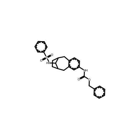 O=C(Nc1ccc2c(c1)CC1CCC(C2)C1NS(=O)(=O)c1ccccc1)OCc1ccccc1